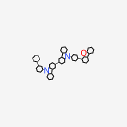 C1=CCCC(c2cccc(-n3c4ccccc4c4cc(-c5ccc6c(c5)c5ccccc5n6-c5ccc(-c6cccc7c6oc6ccccc67)cc5)ccc43)c2)=C1